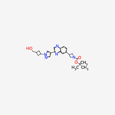 CC(C)(C)OC(=O)N1CC(c2ccc3ncc(-c4cnn(C5CC(CO)C5)c4)nc3c2)C1